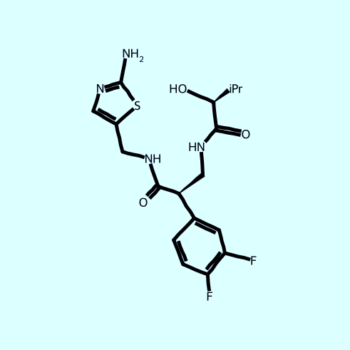 CC(C)[C@H](O)C(=O)NC[C@H](C(=O)NCc1cnc(N)s1)c1ccc(F)c(F)c1